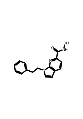 O=C(NO)c1ccc2ccn(CCc3ccccc3)c2n1